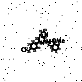 COc1ccccc1CNc1nc(-c2ccc(CCl)cc2)cn2ccnc12